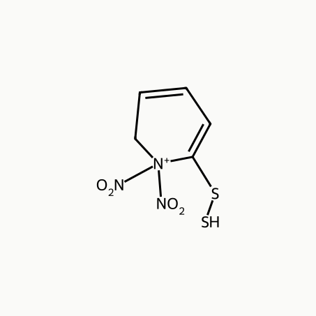 O=[N+]([O-])[N+]1([N+](=O)[O-])CC=CC=C1SS